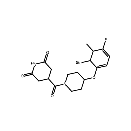 CC1C(F)=CC=C(OC2CCN(C(=O)C3CC(=O)NC(=O)C3)CC2)C1C(C)(C)C